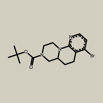 CC(C)(C)OC(=O)N1CCN2c3nccc(Br)c3CCC2C1